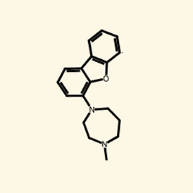 CN1CCCN(c2cccc3c2oc2[c]cccc23)CC1